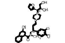 CN(C[C@@H](CCN1CCN([C@@H](c2ccco2)[C@H](O)CO)CC1)c1ccc(Cl)c(Cl)c1)C(=O)c1cc(C#N)cc2ccccc12